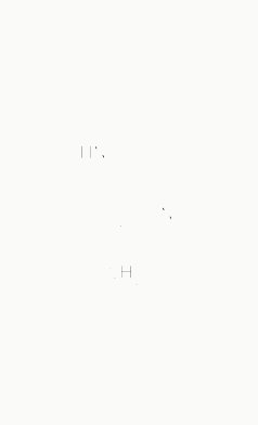 C=C1CNCC[N]1